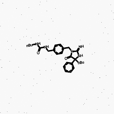 CCCCNC(=O)NCc1ccc(CN2C(=N)NC(CCCC)(c3ccccc3)C2=O)cc1